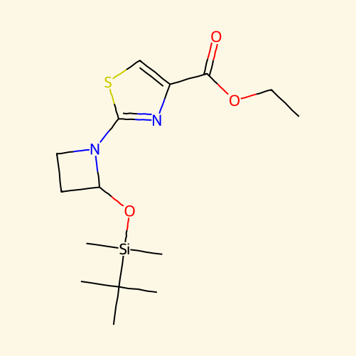 CCOC(=O)c1csc(N2CCC2O[Si](C)(C)C(C)(C)C)n1